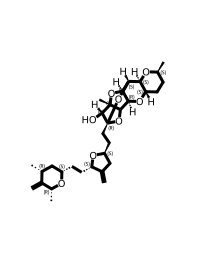 C=C1C[C@H](CC[C@]23OC4[C@@H]5O[C@H]6CC[C@H](C)O[C@@H]6[C@H](O2)[C@@H]5O[C@@]4(C)[C@H]3O)O[C@H]1CC[C@H]1C[C@@H](C)C(=C)[C@@H](C)O1